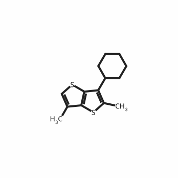 Cc1sc2c(C)csc2c1C1CCCCC1